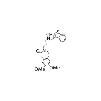 COc1cc2c(cc1OC)CC(=O)N(CCCN(C)Cc1csc3ccccc13)CC2